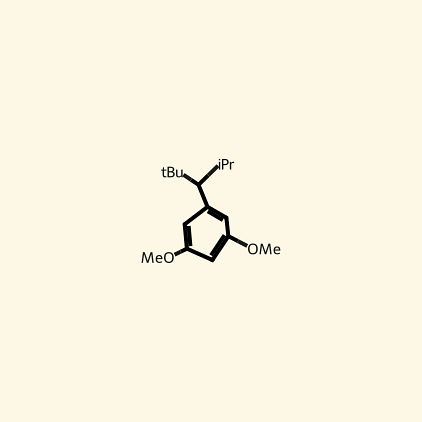 COc1cc(OC)cc(C(C(C)C)C(C)(C)C)c1